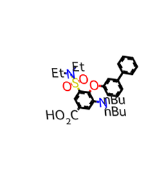 CCCCN(CCCC)c1cc(C(=O)O)cc(S(=O)(=O)N(CC)CC)c1Oc1cccc(-c2ccccc2)c1